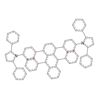 c1ccc(-c2c3ccccc3c(-c3ccccc3)c3c(-c4ccc(-n5c(-c6ccccc6)ccc5-c5ccccc5)cc4)ccc(-c4ccc(-n5c(-c6ccccc6)ccc5-c5ccccc5)cc4)c23)cc1